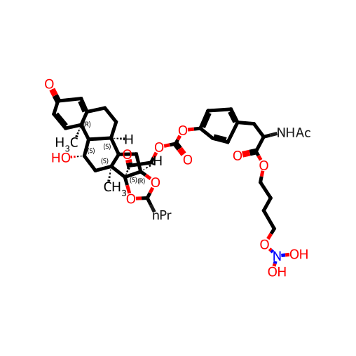 CCCC1O[C@@H]2CC3[C@@H]4CCC5=CC(=O)C=C[C@]5(C)C4[C@@H](O)C[C@]3(C)[C@]2(C(=O)COC(=O)Oc2ccc(CC(NC(C)=O)C(=O)OCCCCON(O)O)cc2)O1